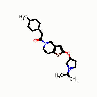 CC1CCC(CC(=O)N2CCc3sc(OC4CCN(C(C)C)C4)cc3C2)CC1